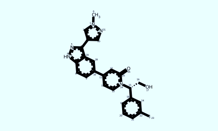 Cn1cc(-c2n[nH]c3ccc(-c4ccn([C@H](CO)c5cccc(I)c5)c(=O)c4)cc23)cn1